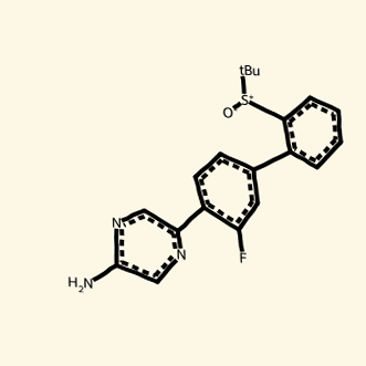 CC(C)(C)[S+]([O-])c1ccccc1-c1ccc(-c2cnc(N)cn2)c(F)c1